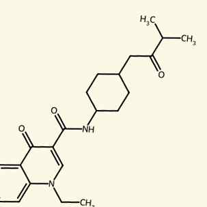 CCn1cc(C(=O)NC2CCC(CC(=O)C(C)C)CC2)c(=O)c2ccccc21